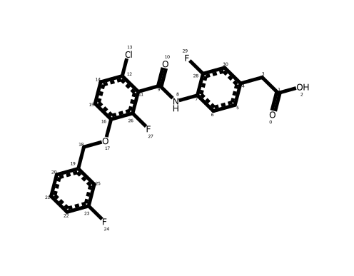 O=C(O)Cc1ccc(NC(=O)c2c(Cl)ccc(OCc3cccc(F)c3)c2F)c(F)c1